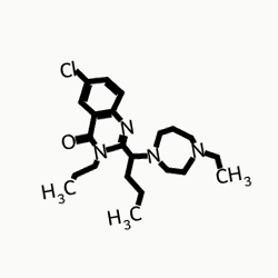 CCCC(c1nc2ccc(Cl)cc2c(=O)n1CCC)N1CCCN(CC)CC1